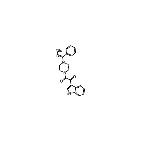 CC(C)(C)/N=C(\c1ccccc1)N1CCN(C(=O)C(=O)c2c[nH]c3ccccc23)CC1